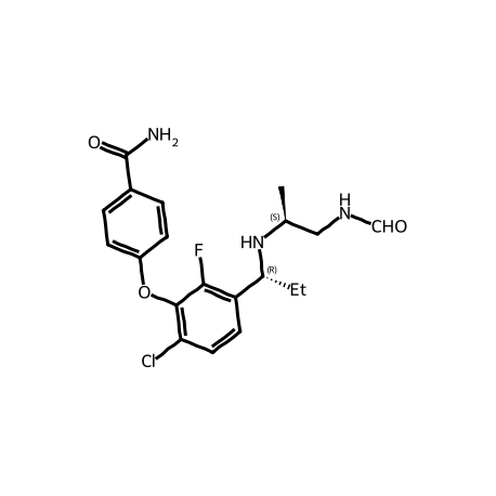 CC[C@@H](N[C@@H](C)CNC=O)c1ccc(Cl)c(Oc2ccc(C(N)=O)cc2)c1F